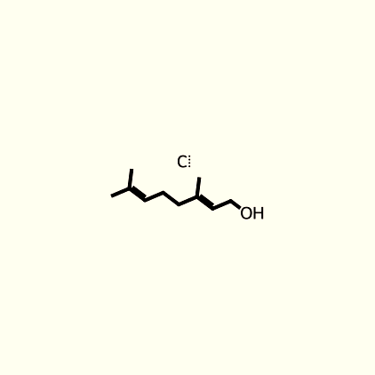 CC(C)=CCC/C(C)=C/CO.[C]